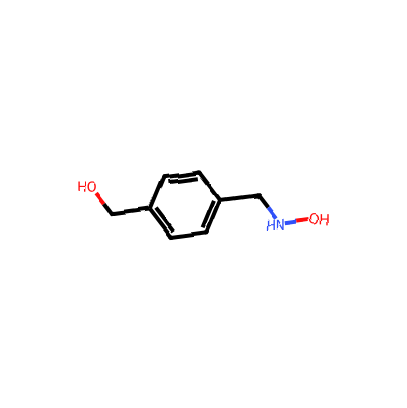 OCc1ccc(CNO)cc1